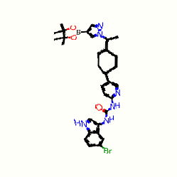 CC(C1CCC(c2ccc(NC(=O)Nc3c[nH]c4ccc(Br)cc34)nc2)CC1)n1cc(B2OC(C)(C)C(C)(C)O2)cn1